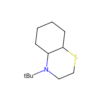 CC(C)(C)N1CCSC2CCCCC21